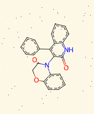 O=C1COc2ccccc2N1c1c(-c2ccccc2)c2ccccc2[nH]c1=O